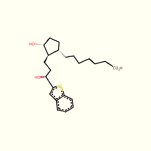 O=C(O)CCCCCC[C@H]1CC[C@@H](O)[C@@H]1CC[C@H](O)c1cc2ccccc2s1